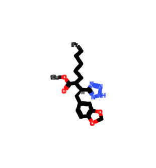 CC(C)CCCCCC(C(=O)OC(C)(C)C)[C@H](Cc1ccc2c(c1)OCO2)c1nn[nH]n1